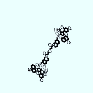 COc1ccc([C@@]23Oc4cc(OC)cc(OC)c4[C@]2(O)[C@H](O)[C@H](C(=O)NCc2ccc4c(c2)CN(C(=O)CCOCCC(=O)N2CCc5ccc(CNC(=O)[C@H]6[C@@H](O)[C@@]7(O)c8c(OC)cc(OC)cc8O[C@@]7(c7ccc(OC)cc7)[C@@H]6c6ccccc6)cc5C2)CC4)[C@H]3c2ccccc2)cc1